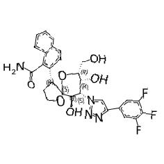 NC(=O)c1c([C@H]2CCO[C@]23O[C@H](CO)[C@H](O)[C@H](n2cc(-c4cc(F)c(F)c(F)c4)nn2)[C@H]3O)ccc2ccccc12